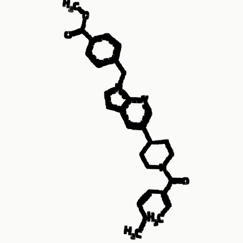 C/C=C(\C=C/CC)C(=O)N1CCC(c2cnc3c(ccn3Cc3ccc(C(=O)OC)cc3)c2)CC1